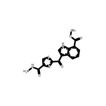 CC(C)(C)OC(=O)c1cccc2c(C(=O)c3nc(C(=O)NN)cs3)c[nH]c12